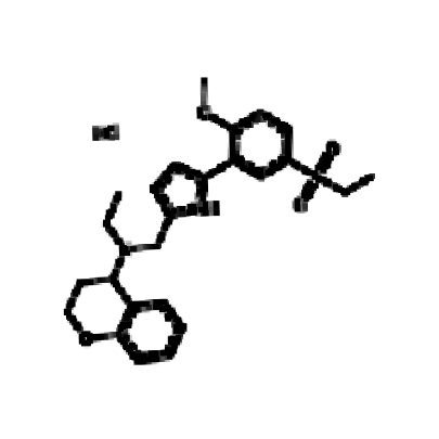 CCN(Cc1ccc(-c2cc(S(=O)(=O)CC)ccc2OC)[nH]1)C1CCOc2ccccc21.Cl